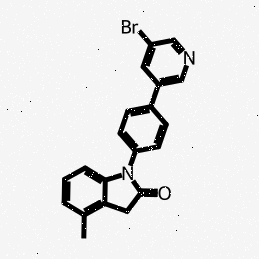 Cc1cccc2c1CC(=O)N2c1ccc(-c2cncc(Br)c2)cc1